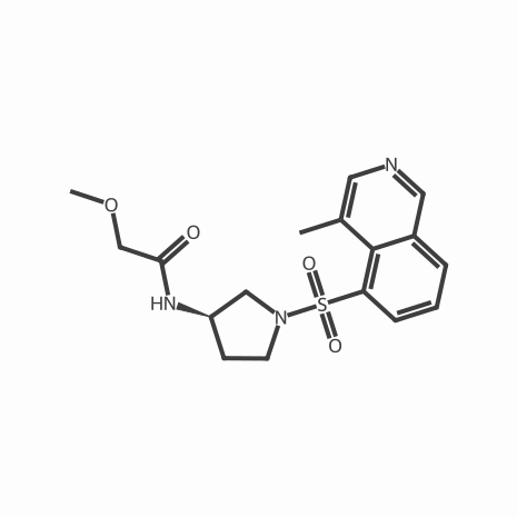 COCC(=O)N[C@@H]1CCN(S(=O)(=O)c2cccc3cncc(C)c23)C1